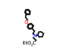 CCOC(=O)CCN(CCc1ccc(OCCc2ccccc2)cc1)C1CCCCC1